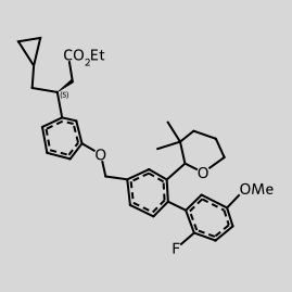 CCOC(=O)C[C@H](CC1CC1)c1cccc(OCc2ccc(-c3cc(OC)ccc3F)c(C3OCCCC3(C)C)c2)c1